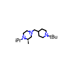 CC(C)N1CCN(CC2CCN(C(C)(C)C)CC2)C[C@H]1C